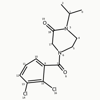 CC(C)N1CCN(C(=O)c2cccc(Cl)c2Cl)CC1=O